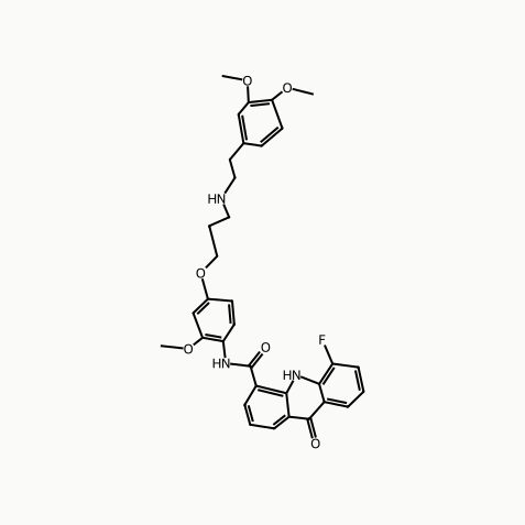 COc1cc(OCCCNCCc2ccc(OC)c(OC)c2)ccc1NC(=O)c1cccc2c(=O)c3cccc(F)c3[nH]c12